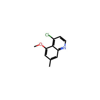 COc1cc(C)cc2nccc(Cl)c12